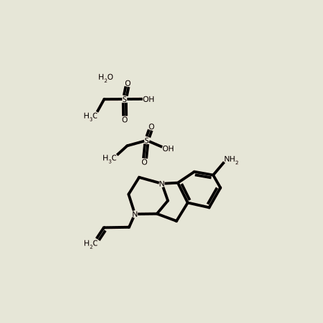 C=CCN1CCN2CC1Cc1ccc(N)cc12.CCS(=O)(=O)O.CCS(=O)(=O)O.O